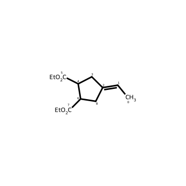 CC=C1CC(C(=O)OCC)C(C(=O)OCC)C1